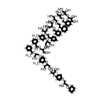 CC(OC(CO)CO)c1ccccc1.CCC(OCC(O)CO)c1ccccc1.Cc1ccc(OC(CO)CO)cc1.Cc1cccc(OC(CO)CO)c1.OCC(CO)OCCc1ccccc1.OCC(CO)OCc1ccccc1.OCC(CO)Oc1ccccc1.OCC(O)COCC(O)CO.OCC(O)COCCc1ccccc1.OCC(O)COCc1ccccc1.OCC(O)COc1ccccc1